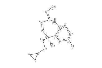 N#CN=C1N=C[C@@](OCC2CC2)(C(F)(F)F)c2cc(Cl)ccc2N1